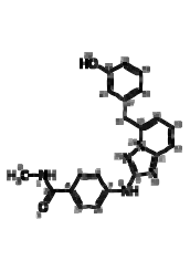 CNC(=O)c1ccc(Nc2nc3cccc(Cc4cccc(O)c4)n3n2)cc1